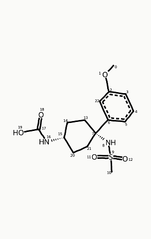 COc1cccc([C@]2(NS(C)(=O)=O)CC[C@@H](NC(=O)O)CC2)c1